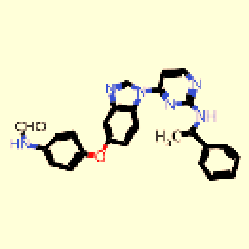 CC(Nc1nccc(-n2cnc3cc(Oc4ccc(NC=O)cc4)ccc32)n1)c1ccccc1